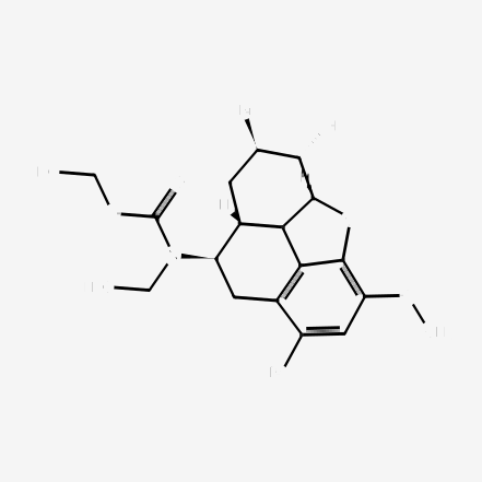 CCOC(=O)N(CC)[C@@H]1Cc2c(Br)cc(OC)c3c2C2[C@H]1C[C@@H](Br)[C@H](O)[C@@H]2O3